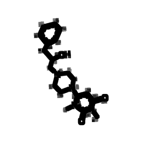 Cn1c(N2CCN(CC(O)Cc3ccccc3)CC2)cc(=O)n(C)c1=O